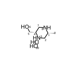 C[C@@H]1CN[C@H](CO)CN1.Cl.Cl